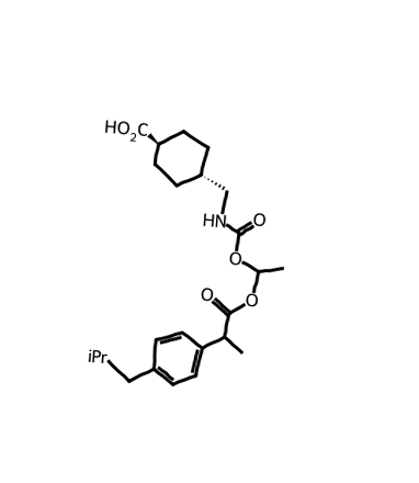 CC(C)Cc1ccc(C(C)C(=O)OC(C)OC(=O)NC[C@H]2CC[C@H](C(=O)O)CC2)cc1